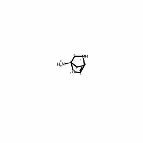 N[C@]12CNC(=CO1)C2